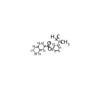 CCC(C)c1cccc(OC(=O)C2CCC3CCCCC3C2)c1